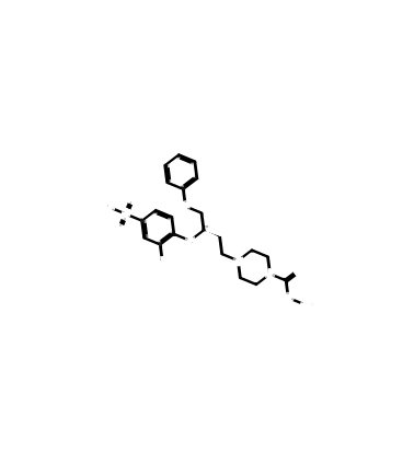 CC(C)(C)OC(=O)N1CCN(CC[C@H](CSc2ccccc2)Nc2ccc(S(N)(=O)=O)cc2[N+](=O)[O-])CC1